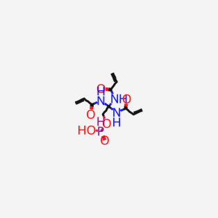 C=CC(=O)NC(CO[PH](=O)O)(NC(=O)C=C)NC(=O)C=C